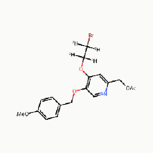 [2H]C([2H])(Br)C([2H])([2H])Oc1cc(COC(C)=O)ncc1OCc1ccc(OC)cc1